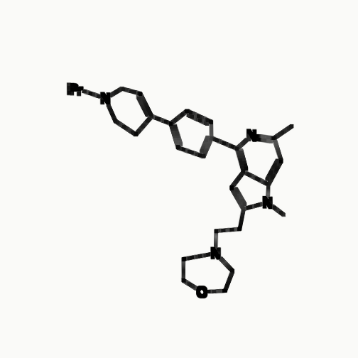 Cc1cc2c(cc(CCN3CCOCC3)n2C)c(-c2ccc(C3=CCN(C(C)C)CC3)cc2)n1